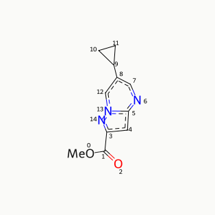 COC(=O)c1cc2ncc(C3CC3)cn2n1